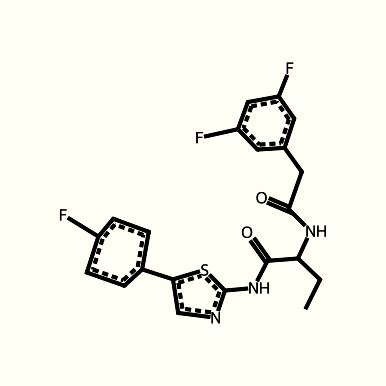 CCC(NC(=O)Cc1cc(F)cc(F)c1)C(=O)Nc1ncc(-c2ccc(F)cc2)s1